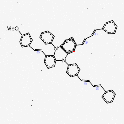 COc1ccc(/C=C/c2cccc(N(c3ccccc3)c3ccc(/C=C/C=C/c4ccccc4)cc3)c2N(c2ccccc2)c2ccc(/C=C/C=C/c3ccccc3)cc2)cc1